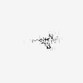 CC[C@H](C)[C@H](N)C(=O)N[C@@H](CCC(=O)O)C(=O)N[C@@H](Cc1c[nH]cn1)C(=O)N[C@@H](CCCCN)C(=O)O